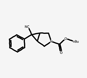 CCCCOC(=O)N1CC2C(C1)C2(C#N)c1ccccc1